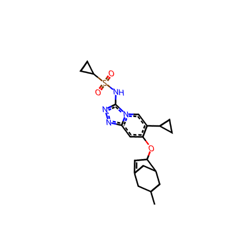 CC1CC2=CC(Oc3cc4nnc(NS(=O)(=O)C5CC5)n4cc3C3CC3)C(C2)C1